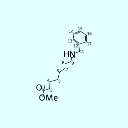 COC(=O)CCCCCCCNCc1ccccc1